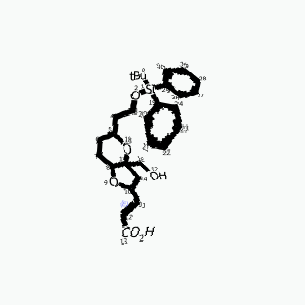 CC(C)(C)[Si](OCCC1CCC2OC(/C=C/C(=O)O)CC2(CO)O1)(c1ccccc1)c1ccccc1